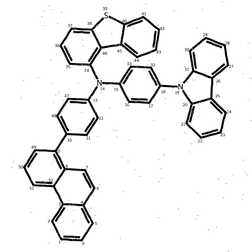 c1ccc2c(c1)ccc1c(-c3ccc(N(c4ccc(-n5c6ccccc6c6ccccc65)cc4)c4cccc5sc6ccccc6c45)cc3)cccc12